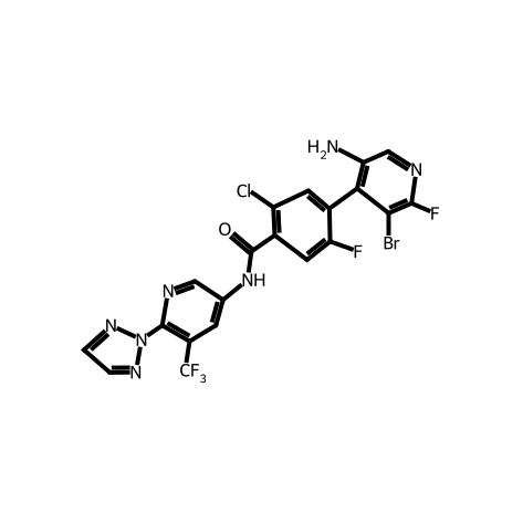 Nc1cnc(F)c(Br)c1-c1cc(Cl)c(C(=O)Nc2cnc(-n3nccn3)c(C(F)(F)F)c2)cc1F